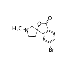 CN1CCC2(C1)OC(=O)c1ccc(Br)cc12